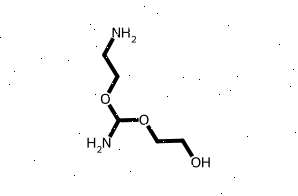 NCCOC(N)OCCO